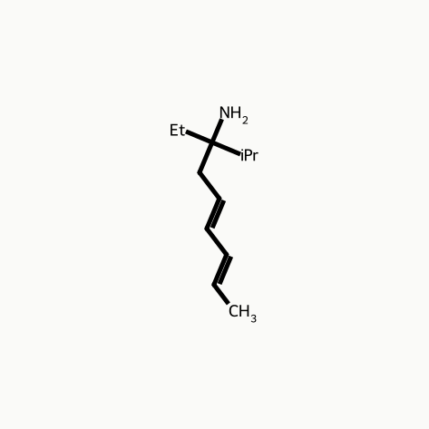 CC=C/C=C/CC(N)(CC)C(C)C